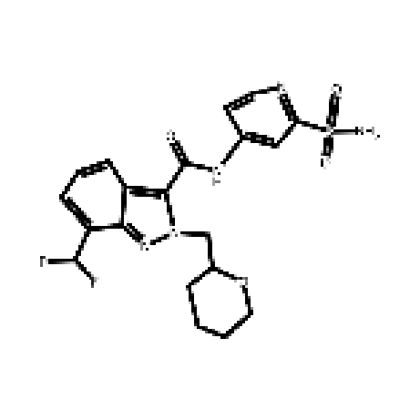 NS(=O)(=O)c1cc(NC(=O)c2c3cccc(C(F)F)c3nn2CC2CCCCO2)ccn1